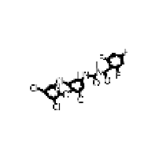 O=C(NC(=O)c1c(F)cc(F)cc1F)Nc1cc(Cl)c(Oc2ncc(Cl)cc2Cl)c(Cl)c1